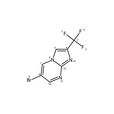 FC(F)(F)c1cn2cc(Br)cnc2n1